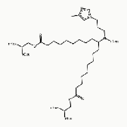 CCCCCCCCC[C@@H](CCCCCC)COC(=O)CCCCCCCCC(CCCCCCCCC(=O)OCC(CCCCCC)CCCCCCCC)N(CCCCCCCCC)CCCn1cnc(C)c1